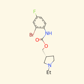 CCN1CC[C@@H](COC(=O)Nc2ccc(F)cc2Br)C1